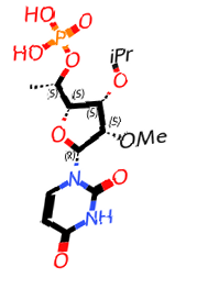 CO[C@H]1[C@@H](OC(C)C)[C@@H]([C@H](C)OP(=O)(O)O)O[C@H]1n1ccc(=O)[nH]c1=O